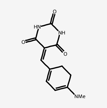 CNC1=CC=C(C=C2C(=O)NC(=O)NC2=O)CC1